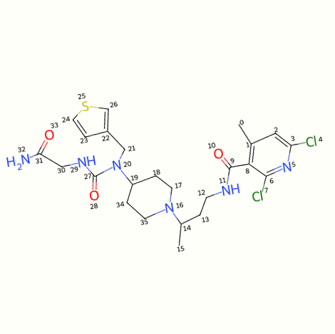 Cc1cc(Cl)nc(Cl)c1C(=O)NCCC(C)N1CCC(N(Cc2ccsc2)C(=O)NCC(N)=O)CC1